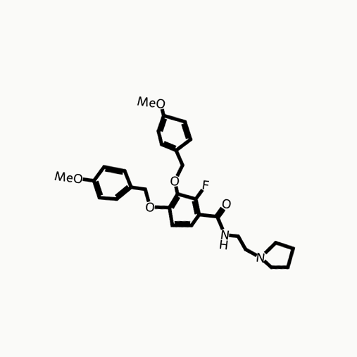 COc1ccc(COc2ccc(C(=O)NCCN3CCCC3)c(F)c2OCc2ccc(OC)cc2)cc1